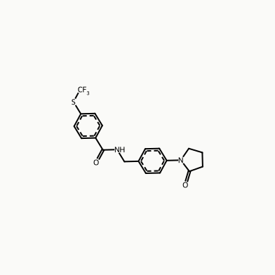 O=C(NCc1ccc(N2CCCC2=O)cc1)c1ccc(SC(F)(F)F)cc1